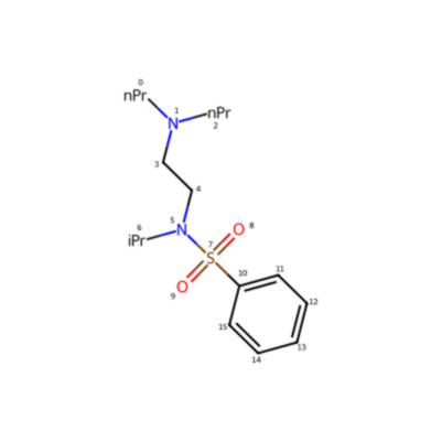 CCCN(CCC)CCN(C(C)C)S(=O)(=O)c1ccccc1